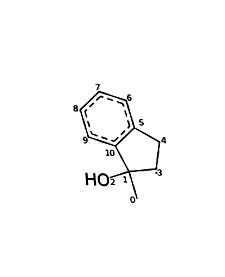 CC1(O)[CH]Cc2ccccc21